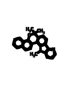 CC1c2cccnc2-c2ccc3c(c21)-c1ccc2ccccc2c1OC3(C)C